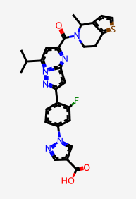 CC(C)c1cc(C(=O)N2CCc3sccc3C2C)nc2cc(-c3ccc(-n4cc(C(=O)O)cn4)cc3F)nn12